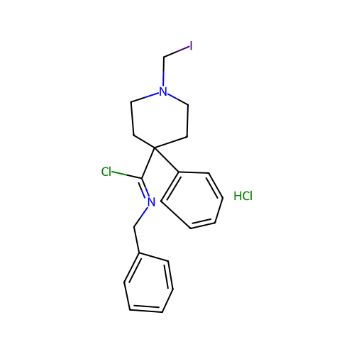 Cl.ClC(=NCc1ccccc1)C1(c2ccccc2)CCN(CI)CC1